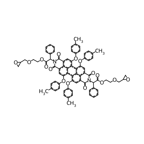 Cc1ccc(Oc2cc3c4c(cc(Oc5ccc(C)cc5)c5c6c(Oc7ccc(C)cc7)cc7c8c(cc(Oc9ccc(C)cc9)c(c2c45)c86)C(=O)N(C(C(=O)OCCOCC2CO2)c2ccccc2)C7=O)C(=O)N(C(C(=O)OCCOCC2CO2)c2ccccc2)C3=O)cc1